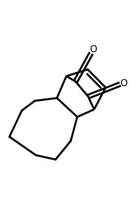 O=C1C(=O)C2C=CC1C1CCCCCCC21